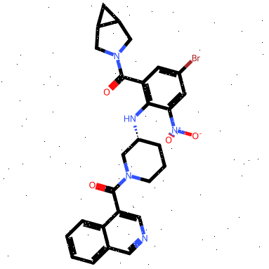 O=C(c1cc(Br)cc([N+](=O)[O-])c1N[C@@H]1CCCN(C(=O)c2cncc3ccccc23)C1)N1CC2CC2C1